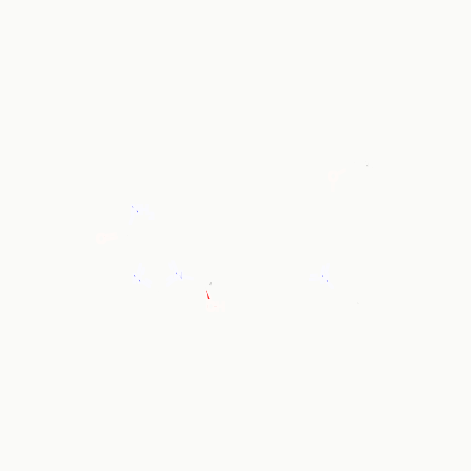 CCCCOc1ccc2c(c1)c(CCC[C@@H](O)n1cnc(C(N)=O)c1)cn2C